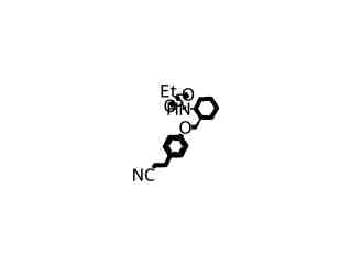 CCS(=O)(=O)N[C@@H]1CCCC[C@H]1COc1ccc(CCC#N)cc1